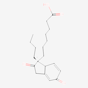 CCCC[C@]1(CCCCCCC(=O)O)C(=O)CC2=CC(=O)C=CC21